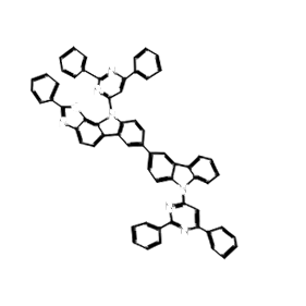 c1ccc(-c2cc(-n3c4ccccc4c4cc(-c5ccc6c(c5)c5ccc7nc(-c8ccccc8)sc7c5n6-c5cc(-c6ccccc6)nc(-c6ccccc6)n5)ccc43)nc(-c3ccccc3)n2)cc1